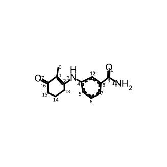 CC1=C(Nc2cccc(C(N)=O)c2)CCCC1=O